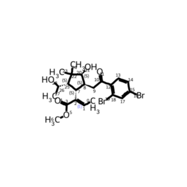 C/C=C(/C(=O)OC)[C@H]1[C@H](CC(=O)c2ccc(Br)cc2Br)[C@H](O)C(C)(C)[C@H]1C(C)O